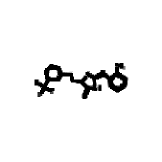 Cc1ccccc1N=C1NC(=O)C(CSc2cccc(C(F)(F)F)c2)S1